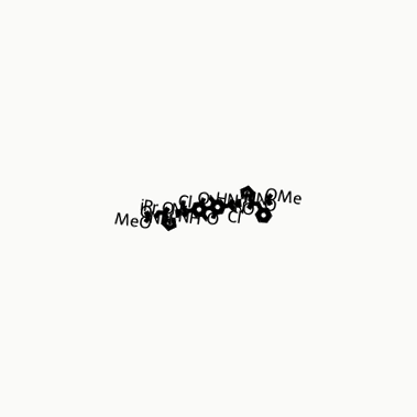 COC(=O)N[C@H](C(=O)N1CCC[C@H]1c1nc(Cl)c(-c2cc3c4c(c2)OCc2cc(-c5[nH]c([C@@H]6CCCN6C(=O)[C@H](NC(=O)OC)c6ccccc6)nc5Cl)cc(c2-4)OC3)[nH]1)C(C)C